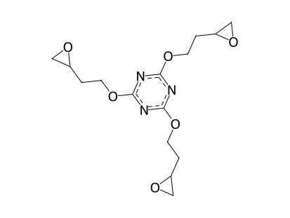 C(CC1CO1)Oc1nc(OCCC2CO2)nc(OCCC2CO2)n1